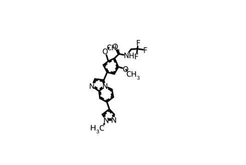 COc1cc(-c2cnc3cc(-c4cnn(C)c4)ccn23)cc(OC)c1C(=O)NCC(F)(F)F